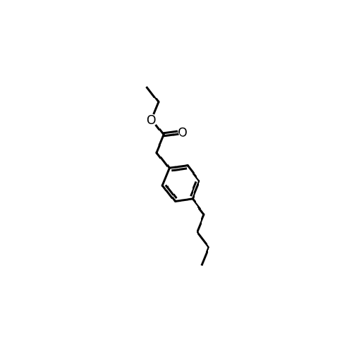 CCCCc1ccc(CC(=O)OCC)cc1